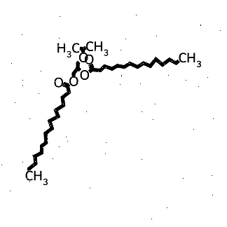 CCCCCCCCCCCCCCCC(=O)OCC(COC(C)C)OC(=O)CCCCCCCCCCCCCC